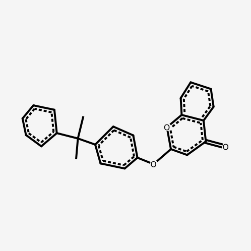 CC(C)(c1ccccc1)c1ccc(Oc2cc(=O)c3ccccc3o2)cc1